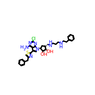 Nc1nc(Cl)nc2c1c(-c1nc(Cc3ccccc3)cs1)cn2[C@@H]1C[C@H](CNCCCNCCc2ccccc2)[C@@H](O)[C@H]1O